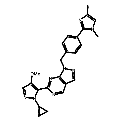 COc1cnn(C2CC2)c1-c1ncc2cnn(Cc3ccc(-c4nc(C)cn4C)cc3)c2n1